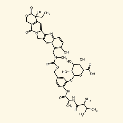 CC[C@@]1(O)C(=O)OCc2c1cc1n(c2=O)Cc2cc3c(CN(C)C(=O)OCc4ccc(NC(=O)[C@H](C)NC(=O)[C@@H](N)C(C)C)c(O[C@@H]5O[C@H](C(=O)O)[C@@H](O)[C@H](O)[C@H]5O)c4)c(O)ccc3nc2-1